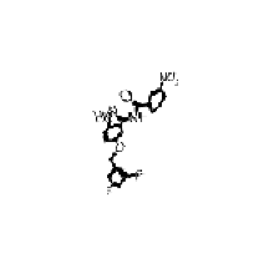 O=C(Nc1n[nH]c2ccc(OCc3cc(F)cc(F)c3)cc12)c1cccc([N+](=O)[O-])c1